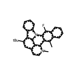 Cc1c2ccccc2c(F)c2c1c1c3c(cc[n+]1C)cc(C(C)(C)C)c1c4ccccc4n2c13